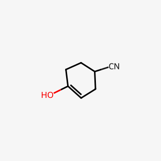 N#CC1CC=C(O)CC1